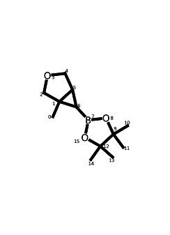 CC12COCC1C2B1OC(C)(C)C(C)(C)O1